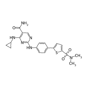 CN(C)S(=O)(=O)c1ccc(-c2ccc(Nc3ncc(C(N)=O)c(NC4CC4)n3)cc2)s1